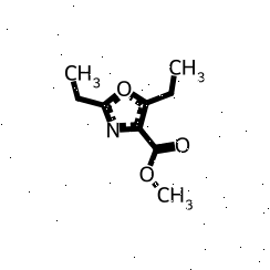 CCc1nc(C(=O)OC)c(CC)o1